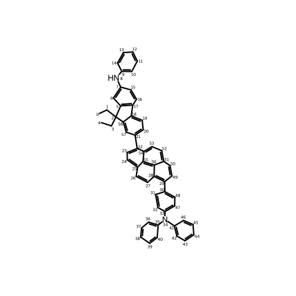 CCC1(CC)c2cc(Nc3ccccc3)ccc2-c2ccc(-c3ccc4ccc5c(-c6ccc(N(c7ccccc7)c7ccccc7)cc6)ccc6ccc3c4c65)cc21